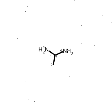 C[C](N)N